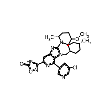 COC1CC[C@@H](C)N(c2nc3cc(-c4noc(=O)[nH]4)nc(-c4cncc(Cl)c4)c3n2C[C@H]2CC[C@H](C)CC2)C1